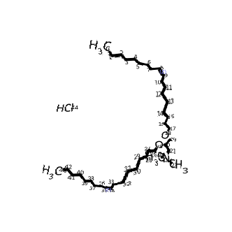 CCCCCCCC/C=C\CCCCCCCCOCC(CN(C)C)OCCCCCCCC/C=C\CCCCCCCC.Cl